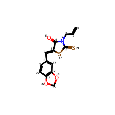 C=CCN1C(=O)C(=Cc2ccc3c(c2)OCO3)SC1=S